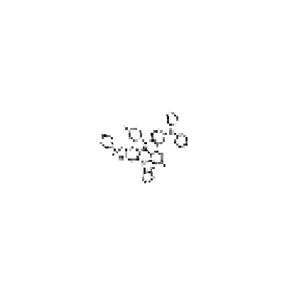 Cc1ccc(N2B3c4cc5c(cc4-n4c6ccccc6c6c(C)cc(c3c64)-c3cc(N(c4ccccc4)c4ccccc4)ccc32)OC(C)(c2ccccc2)C5)cc1